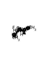 CN1CCN(c2ccc(Nc3ncc(C(F)(F)F)c(NCCCN4CCCN(C)C4=O)n3)c(C3CC3)c2)CC1